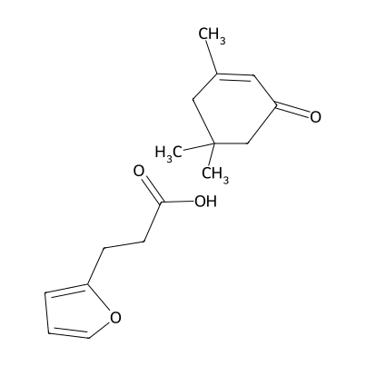 CC1=CC(=O)CC(C)(C)C1.O=C(O)CCc1ccco1